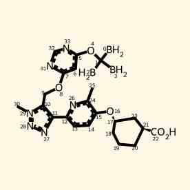 BC(B)(B)Oc1cc(OCc2c(-c3ccc(O[C@H]4CCC[C@H](C(=O)O)C4)c(C)n3)nnn2C)ncn1